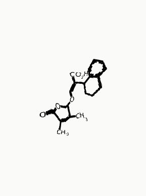 CC1=C(C)C(O/C=C(/C(=O)O)C2CCCc3ccccc32)OC1=O